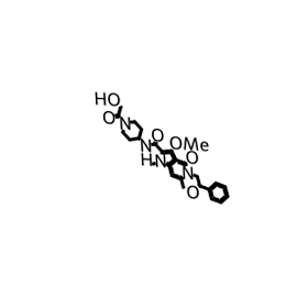 COc1c(C(=O)NC2CCN(C(=O)CO)CC2)n(C)c2cc(C)n(CC(=O)c3ccccc3)c(=O)c12